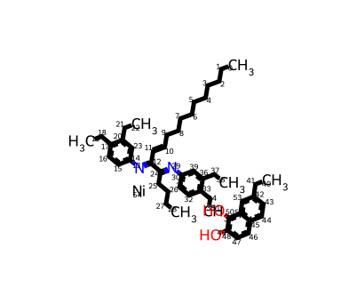 CCCCCCCCCCC=CC(=Nc1ccc(CC)c(CC)c1)C(CCCC)=Nc1ccc(CC)c(CC)c1.CCc1ccc2ccc(O)c(O)c2c1.[Ni]